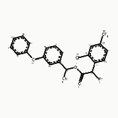 CC(C)C(C(=O)OC(C#N)c1cccc(Oc2ccccc2)c1)c1ccc(C(F)(F)F)cc1Cl